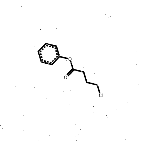 O=C(CCCCl)Oc1ccccc1